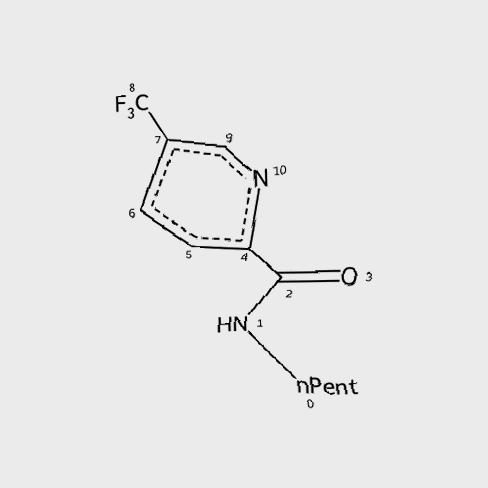 CCCCCNC(=O)c1ccc(C(F)(F)F)cn1